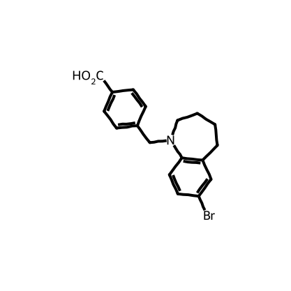 O=C(O)c1ccc(CN2CCCCc3cc(Br)ccc32)cc1